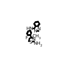 C[C@@]1(c2cc(Nc3ncnc4ccccc34)ccc2F)CCSC(N)=N1